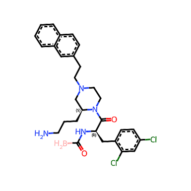 BC(=O)N[C@H](Cc1ccc(Cl)cc1Cl)C(=O)N1CCN(CCc2ccc3ccccc3c2)C[C@@H]1CCCN